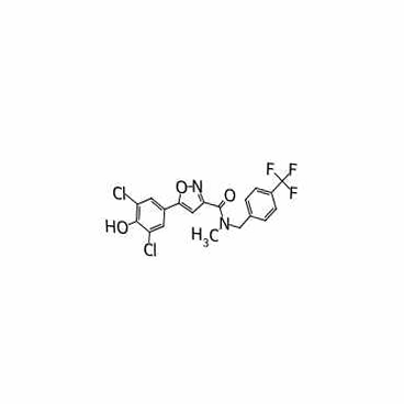 CN(Cc1ccc(C(F)(F)F)cc1)C(=O)c1cc(-c2cc(Cl)c(O)c(Cl)c2)on1